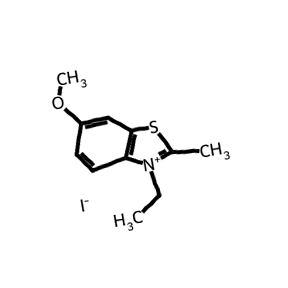 CC[n+]1c(C)sc2cc(OC)ccc21.[I-]